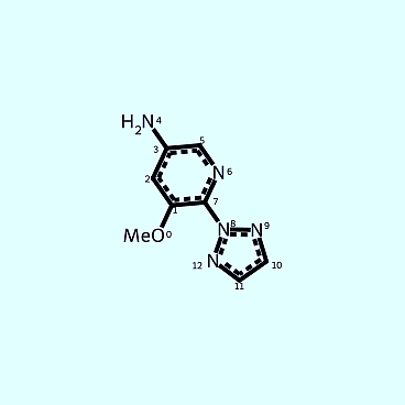 COc1cc(N)cnc1-n1nccn1